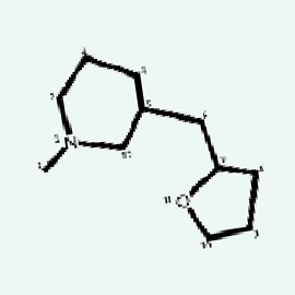 CN1CCCC(CC2CCCO2)C1